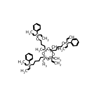 C=C[Si]1(C)O[Si](C)(CCCC[Si](C=C)(C=C)c2ccccc2)O[Si](C)(CCCO[Si](C=C)(C=C)c2ccccc2)O[Si](C)(CCCO[Si](C=C)(C=C)c2ccccc2)O1